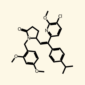 COc1ccc(CN2C(=O)CCC2C=C(c2ccc(C(C)C)cc2)c2ccc(Cl)c(OC)n2)c(OC)c1